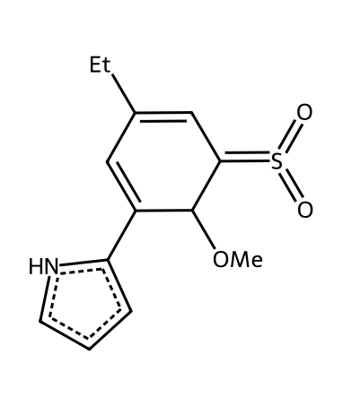 CCC1=CC(=S(=O)=O)C(OC)C(c2ccc[nH]2)=C1